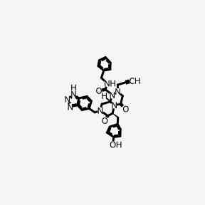 C#CCN1CC(=O)N2[C@@H](Cc3ccc(O)cc3)C(=O)N(Cc3ccc4[nH]nnc4c3)C[C@@H]2N1C(=O)NCc1ccccc1